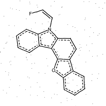 F/C=C\n1c2ccccc2c2c3oc4ccccc4c3ccc21